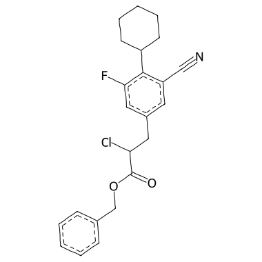 N#Cc1cc(CC(Cl)C(=O)OCc2ccccc2)cc(F)c1C1CCCCC1